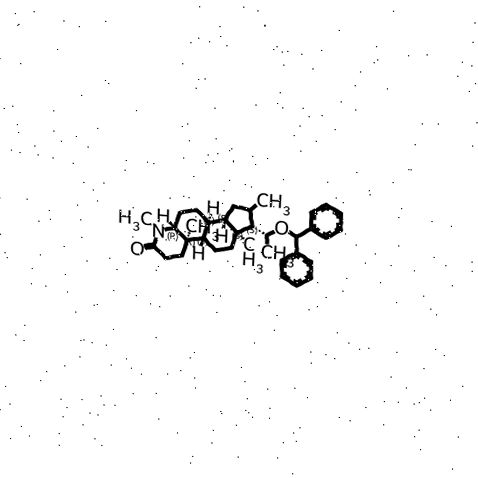 CC1C[C@H]2[C@@H]3CC[C@H]4N(C)C(=O)CC[C@]4(C)[C@H]3CC[C@]2(C)[C@H]1C(C)OC(c1ccccc1)c1ccccc1